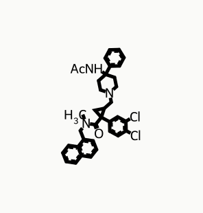 CC(=O)NC1(c2ccccc2)CCN(CC2CC2(C(=O)N(C)Cc2cccc3ccccc23)c2ccc(Cl)c(Cl)c2)CC1